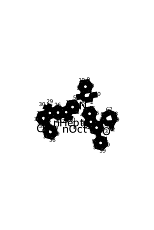 C=C/C=C(\C(=C)c1ccccc1)N(c1ccc2c(c1)C(C)(C)c1cc3c(cc1-2)C(C)(C)c1ccc2oc4ccccc4c2c1-3)c1ccc2c(c1)C(CCCCCCC)(CCCCCCCC)c1cc(-c3ccccc3)c3c(c1-2)C1C=CC=CC(=C1)CO3